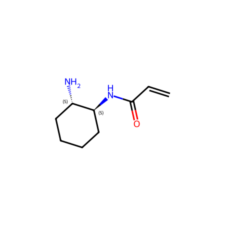 C=CC(=O)N[C@H]1CCCC[C@@H]1N